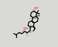 CC(C)CC[C@H](O)[C@@H](C)[C@H]1CC=C2C3=C(CC[C@@]21C)[C@@]1(C)CC[C@H](O)C(C)(C)[C@@H]1CC3